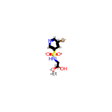 CCO[C@H](O)CNS(=O)(=O)c1cncc(Br)c1